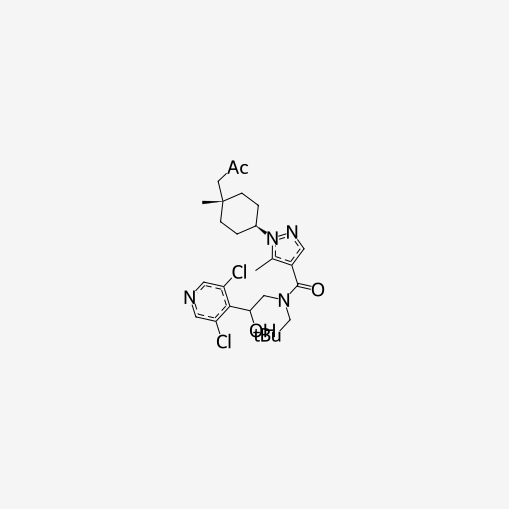 CC(=O)C[C@]1(C)CC[C@@H](n2ncc(C(=O)N(CC(O)c3c(Cl)cncc3Cl)CC(C)(C)C)c2C)CC1